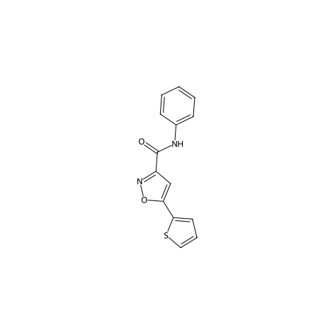 O=C(Nc1ccccc1)c1cc(-c2cccs2)on1